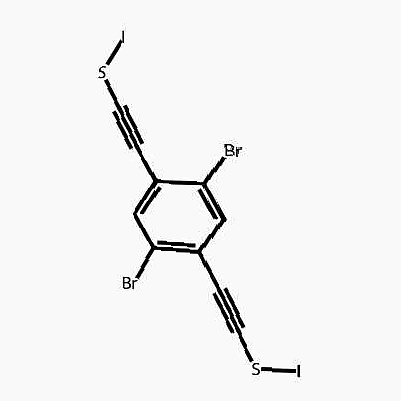 Brc1cc(C#CSI)c(Br)cc1C#CSI